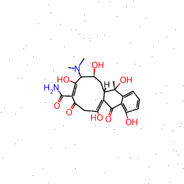 CN(C)[C@@H]1/C(O)=C(/C(N)=O)C(=O)C/C(O)=C2/C(=O)c3c(O)cccc3[C@@](C)(O)[C@H]2C[C@@H]1O